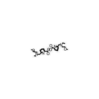 CCN(CCOC)Cc1cccc(C(=O)OOC(=O)c2cccc(CN(CC)CCOC)n2)n1